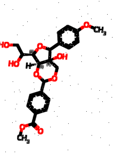 COC(=O)c1ccc(C2OC[C@@]3(O)C(c4ccc(OC)cc4)O[C@H](C(O)CO)[C@@H]3O2)cc1